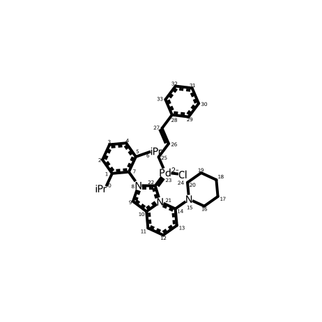 CC(C)c1cccc(C(C)C)c1-n1cc2cccc(N3CCCCC3)n2[c]1=[Pd-2]([Cl])[CH2]C=Cc1ccccc1